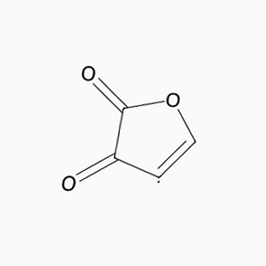 O=C1[C]=COC1=O